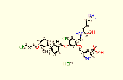 Cc1c(COc2cc(OCc3cncc(C(=O)O)c3)c(CNC(CO)CCCCN)cc2Cl)cccc1-c1cccc(OCCCCl)c1C.Cl